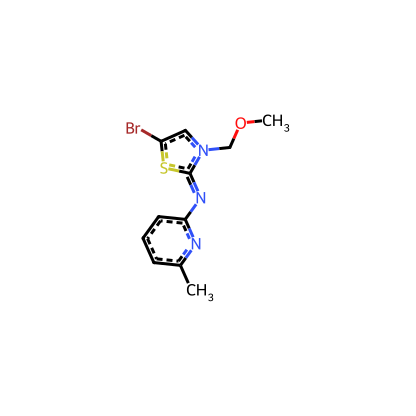 COCn1cc(Br)s/c1=N\c1cccc(C)n1